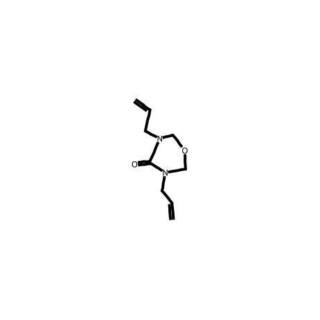 C=CCN1COCN(CC=C)C1=O